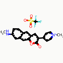 CNc1ccc2cc3cc(-c4cc[n+](C)cc4)c(=O)oc3cc2c1.O=S(=O)([O-])C(F)(F)F